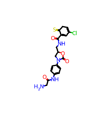 NCC(=O)Nc1ccc(N2CC(CNC(=O)C3=CC(Cl)=CCC3=S)OC2=O)cc1